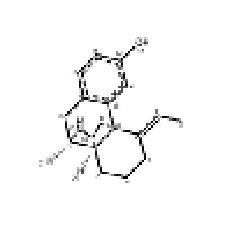 CC=C1CCC[C@H]2[C@H]3Cc4ccc(O)cc4[C@@]12CCN3